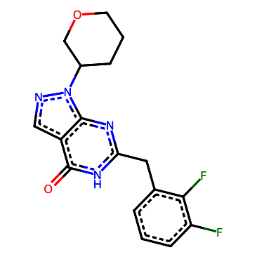 O=c1[nH]c(Cc2cccc(F)c2F)nc2c1cnn2C1CCCOC1